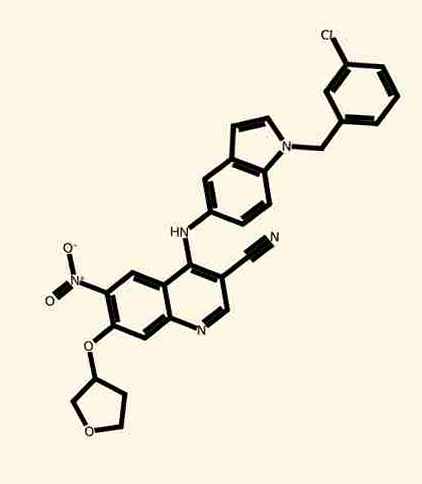 N#Cc1cnc2cc(OC3CCOC3)c([N+](=O)[O-])cc2c1Nc1ccc2c(ccn2Cc2cccc(Cl)c2)c1